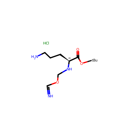 CC(C)(C)OC(=O)[C@H](CCCN)NCOC=N.Cl